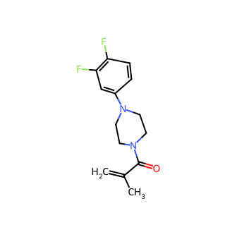 C=C(C)C(=O)N1CCN(c2ccc(F)c(F)c2)CC1